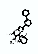 Cc1nc2cc(-c3cccc(-c4ccccc4)c3)nn2c(N2[C@@H]3CCC[C@H]2CC3)c1[C@H](OC(C)(C)C)C(=O)O